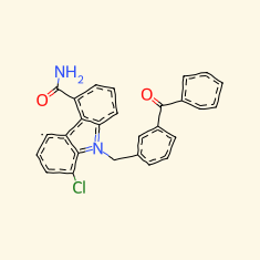 NC(=O)c1cccc2c1c1[c]ccc(Cl)c1n2Cc1cccc(C(=O)c2ccccc2)c1